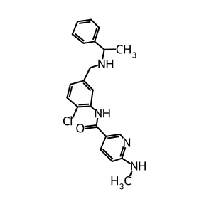 CNc1ccc(C(=O)Nc2cc(CNC(C)c3ccccc3)ccc2Cl)cn1